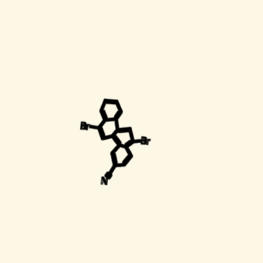 N#Cc1ccc2c(Br)cc3c4ccccc4c(Br)cc3c2c1